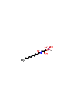 C=CCCCCCCCC(=O)NCC(O)COP(=O)(O)O